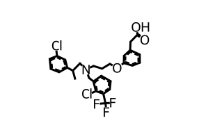 CC(CN(CCCOc1cccc(CC(=O)O)c1)Cc1cccc(C(F)(F)F)c1Cl)c1cccc(Cl)c1